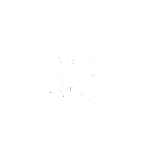 CC1=C(C)C(C)C([Si](c2ccccc2-c2c(C)cc(C)cc2C)(c2ccccc2-c2c(C)cc(C)cc2C)c2ccccc2-c2c(C)cc(C)cc2C)=C1C